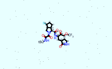 CC(C)(C)NC(=O)C(=O)N1CC2C(F)CCC2[C@H]1C(=O)NC(CC1CCNC1=O)C(=O)COC(F)(F)F